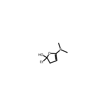 CCC1(O)CC=C(N(C)C)O1